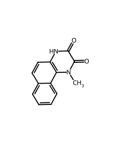 Cn1c(=O)c(=O)[nH]c2ccc3ccccc3c21